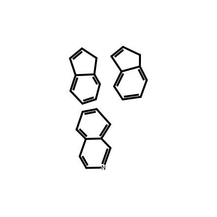 C1=Cc2ccccc2C1.C1=Cc2ccccc2C1.c1ccc2cnccc2c1